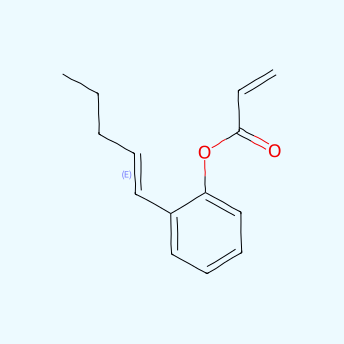 C=CC(=O)Oc1ccccc1/C=C/CCC